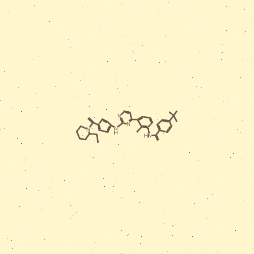 C=C(Nc1cccc(-c2ccnc(Nc3ccc(C(=C)N4CCCCC4CC)cc3)n2)c1C)c1ccc(C(C)(C)C)cc1